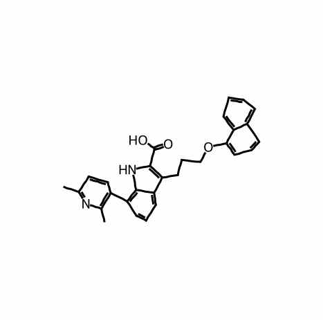 Cc1ccc(-c2cccc3c(CCCOc4cccc5ccccc45)c(C(=O)O)[nH]c23)c(C)n1